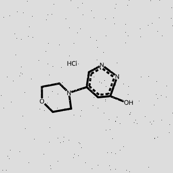 Cl.Oc1cc(N2CCOCC2)cnn1